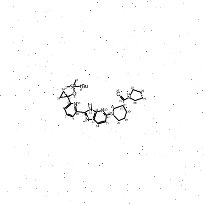 CC(C)(C)[Si](C)(C)OC1(c2cccc(-c3nc4ccc(N5CCC[C@@H](C(=O)N6CCCC6)C5)nc4[nH]3)n2)CC1